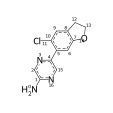 Nc1cnc(-c2cc3c(cc2Cl)CCO3)cn1